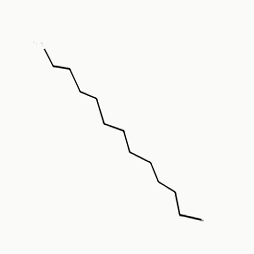 FC(F)(F)CCCCCCCCCC[CH2][Na]